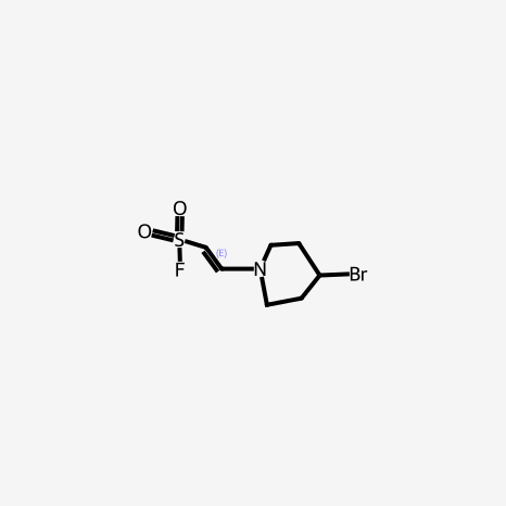 O=S(=O)(F)/C=C/N1CCC(Br)CC1